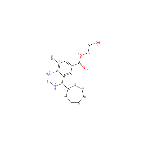 CCNC(c1cc(C(=O)OCCO)cc(Br)c1N)C1CCCCCC1